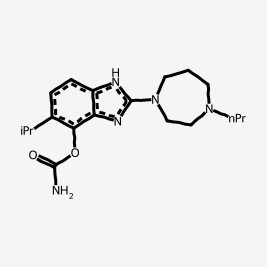 CCCN1CCCN(c2nc3c(OC(N)=O)c(C(C)C)ccc3[nH]2)CC1